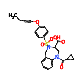 CCC#COc1ccc(S(=O)(=O)N2Cc3ccccc3N(C(=O)C3CC3)CC2C(=O)O)cc1